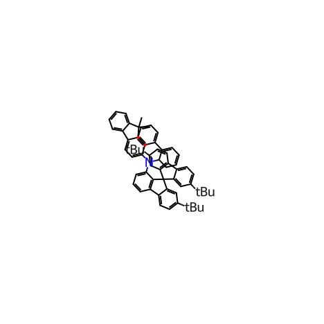 CC(C)(C)c1ccc2c(c1)C1(c3cc(C(C)(C)C)ccc3-2)c2cc(C(C)(C)C)ccc2-c2cccc(N(c3ccc4c(c3)C(C)(C)c3ccccc3-4)C3CC=CC=C3c3ccccc3)c21